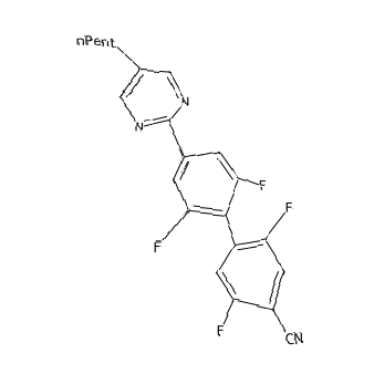 CCCCCc1cnc(-c2cc(F)c(-c3cc(F)c(C#N)cc3F)c(F)c2)nc1